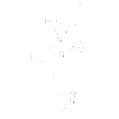 COC(=O)c1c(-c2cccc(F)c2)c(C)nn1-c1nc(-c2ccc(-c3nnc(C)o3)cc2)c(SC(C)C)s1